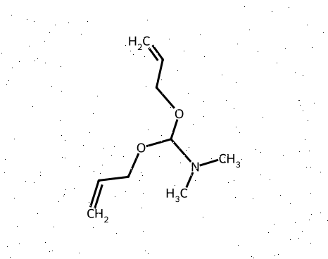 C=CCOC(OCC=C)N(C)C